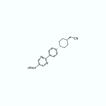 CCCCCc1cnc(-c2ccc([C@H]3CC[C@H](CC#N)CC3)cc2)nc1